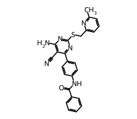 Cc1cccc(CSc2nc(N)c(C#N)c(-c3ccc(NC(=O)c4ccccc4)cc3)n2)n1